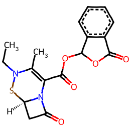 CCN1S[C@@H]2CC(=O)N2C(C(=O)OC2OC(=O)c3ccccc32)=C1C